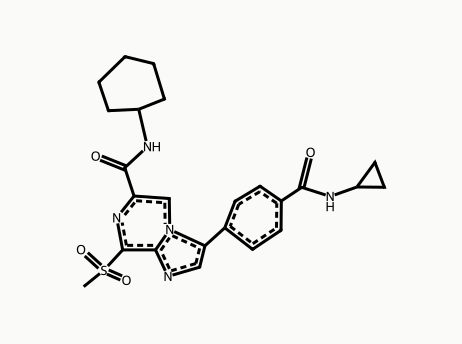 CS(=O)(=O)c1nc(C(=O)NC2CCCCC2)cn2c(-c3ccc(C(=O)NC4CC4)cc3)cnc12